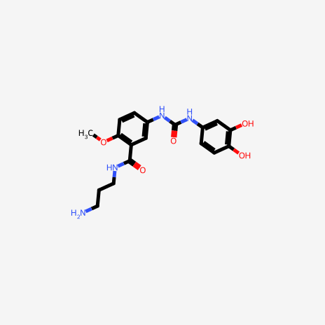 COc1ccc(NC(=O)Nc2ccc(O)c(O)c2)cc1C(=O)NCCCN